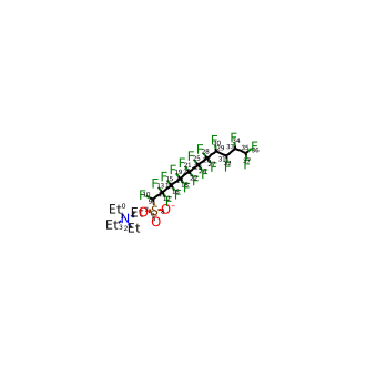 CC[N+](CC)(CC)CC.O=S(=O)([O-])C(F)C(F)(F)C(F)(F)C(F)(F)C(F)(F)C(F)(F)C(F)(F)C(F)C(F)C(F)C(F)F